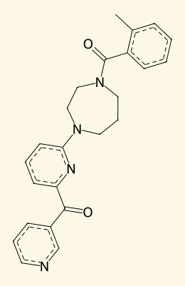 Cc1ccccc1C(=O)N1CCCN(c2cccc(C(=O)c3cccnc3)n2)CC1